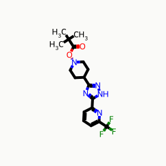 CC(C)(C)C(=O)ON1CCC(c2n[nH]c(-c3cccc(C(F)(F)F)n3)n2)CC1